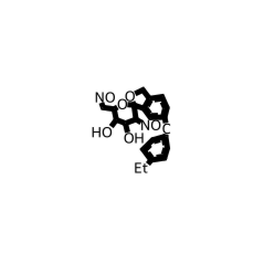 CCc1ccc(Cc2ccc3c(c2)C2(OC3)OC(CN=O)C(O)C(O)C2N=O)cc1